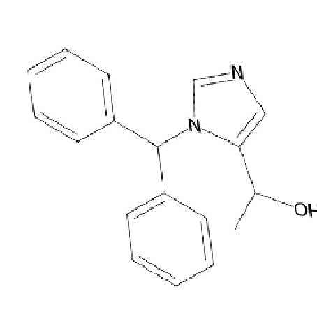 CC(O)c1cncn1C(c1ccccc1)c1ccccc1